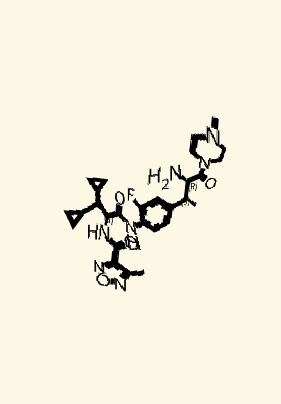 Cc1nonc1C(=O)N[C@H](C(=O)Nc1ccc([C@H](C)[C@@H](N)C(=O)N2CCN(C)CC2)cc1F)C(C1CC1)C1CC1